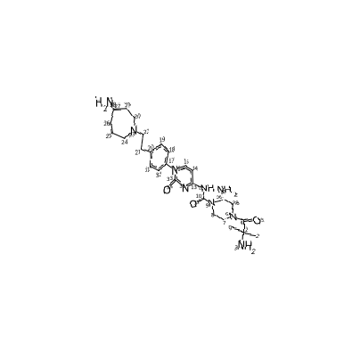 CC(C)(N)C(=O)N1CCN(C(=O)Nc2ccn(-c3ccc(CCN4CCCC(N)CC4)cc3)c(=O)n2)[C@H](N)C1